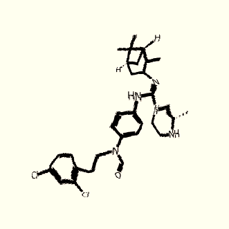 CC1C(/N=C(\Nc2ccc(N(C=O)CCc3ccc(Cl)cc3Cl)cc2)N2CCN[C@@H](C)C2)C[C@@H]2C[C@@H]1C2(C)C